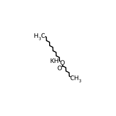 CCCCCCCCCCCOC(=O)CCCCC.[KH]